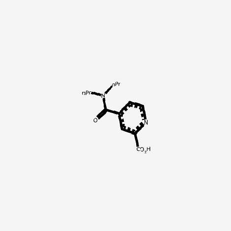 CCCN(CCC)C(=O)c1ccnc(C(=O)O)c1